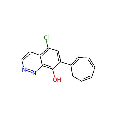 Oc1c(C2=CC=CC=CC2)cc(Cl)c2ccnnc12